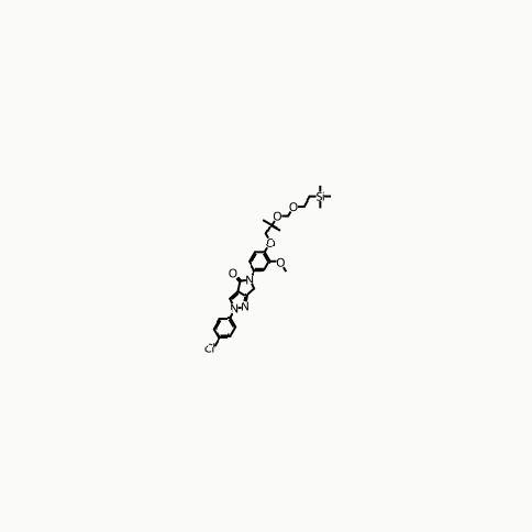 COc1cc(N2Cc3nn(-c4ccc(Cl)cc4)cc3C2=O)ccc1OCC(C)(C)OCOCC[Si](C)(C)C